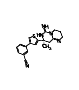 C[C@@]1(c2cc(-c3cccc(C#N)c3)cs2)CC2=NCCCN2C(=N)N1